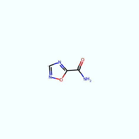 NC(=O)c1n[c]no1